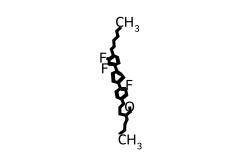 CCCCCCCc1ccc(-c2ccc(-c3ccc(C4CCC(CCCCC)CO4)cc3F)cc2)c(F)c1F